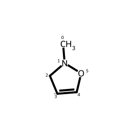 CN1C[C]=CO1